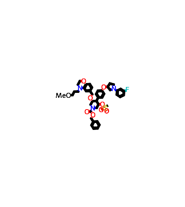 COCCCN1CCOc2ccc(COC3CN(C(=O)OCc4ccccc4)CC(OS(C)(=O)=O)C3c3ccc(OC4CCN(c5cccc(F)c5)C4)cc3)cc21